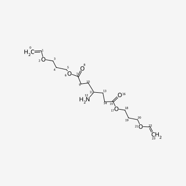 C=COCCCOC(=O)CCC(N)CCC(=O)OCCCOC=C